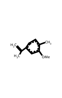 C=C(C)c1ccc(C)c(OC)c1